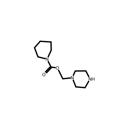 O=C(OCN1CCNCC1)N1CCCCC1